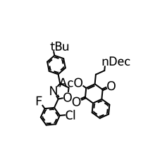 CC(C)(C)c1ccc(C2COC(c3c(F)cccc3Cl)=N2)cc1.CCCCCCCCCCCCC1=C(OC(C)=O)C(=O)c2ccccc2C1=O